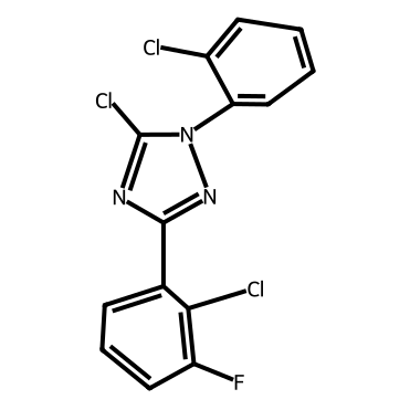 Fc1cccc(-c2nc(Cl)n(-c3ccccc3Cl)n2)c1Cl